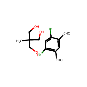 CC(CO)(CO)CO.O=Cc1cc(C=O)c(Br)cc1Br